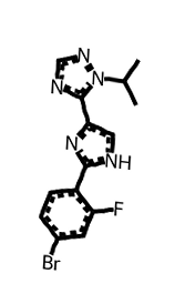 CC(C)n1ncnc1-c1c[nH]c(-c2ccc(Br)cc2F)n1